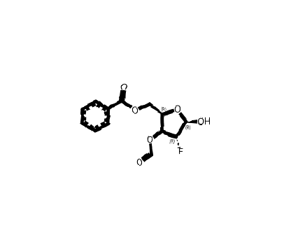 O=COC1[C@@H](F)[C@H](O)O[C@@H]1COC(=O)c1ccccc1